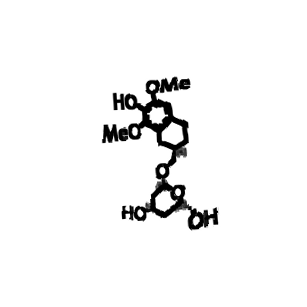 COc1cc2c(c(OC)c1O)C[C@H](CO[C@H]1C[C@@H](O)C[C@@H](CO)O1)CC2